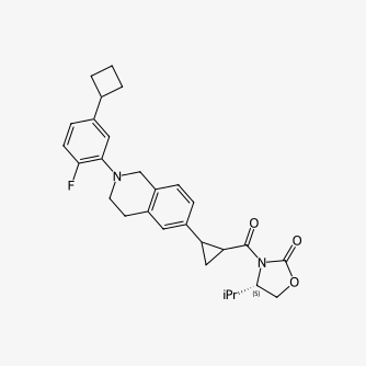 CC(C)[C@H]1COC(=O)N1C(=O)C1CC1c1ccc2c(c1)CCN(c1cc(C3CCC3)ccc1F)C2